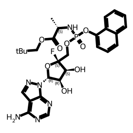 C[C@H](NP(=O)(OC[C@@]1(F)O[C@@H](n2ncc3c(N)ncnc32)[C@H](O)[C@@H]1O)Oc1cccc2ccccc12)C(=O)OCC(C)(C)C